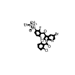 CCN(C)[S+]([O-])Nc1ccc(F)c(C(=O)c2cn(C(=O)c3c(Cl)cccc3Cl)c3ncc(Br)cc23)c1F